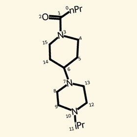 CCCC(=O)N1CCC(N2CCN(C(C)C)CC2)CC1